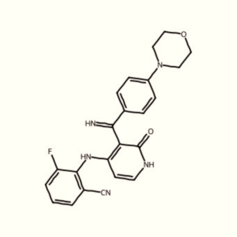 N#Cc1cccc(F)c1Nc1cc[nH]c(=O)c1C(=N)c1ccc(N2CCOCC2)cc1